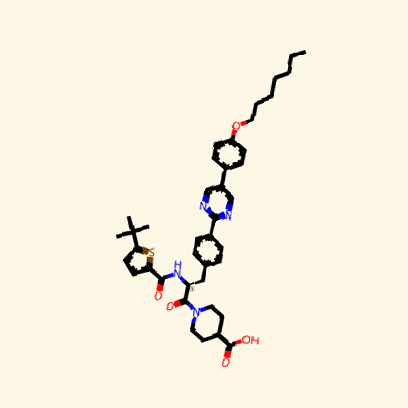 CCCCCCCOc1ccc(-c2cnc(-c3ccc(C[C@H](NC(=O)c4ccc(C(C)(C)C)s4)C(=O)N4CCC(C(=O)O)CC4)cc3)nc2)cc1